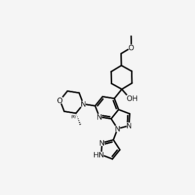 COCC1CCC(O)(c2cc(N3CCOC[C@H]3C)nc3c2cnn3-c2cc[nH]n2)CC1